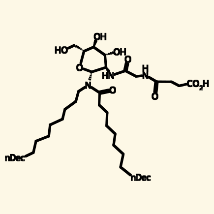 CCCCCCCCCCCCCCCCCCN(C(=O)CCCCCCCCCCCCCCCCC)[C@@H]1O[C@H](CO)[C@@H](O)[C@H](O)[C@H]1NC(=O)CNC(=O)CCC(=O)O